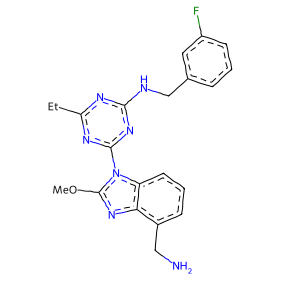 CCc1nc(NCc2cccc(F)c2)nc(-n2c(OC)nc3c(CN)cccc32)n1